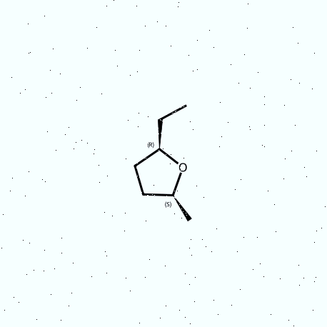 CC[C@@H]1CC[C@H](C)O1